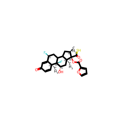 C[C@@H]1CC2C3C[C@H](F)C4=CC(=O)C=C[C@]4(C)[C@@]3(F)[C@@H](O)C[C@]2(C)[C@@]1(OC(=O)c1ccco1)C(=O)S